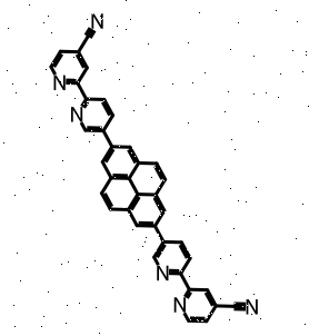 N#Cc1ccnc(-c2ccc(-c3cc4ccc5cc(-c6ccc(-c7cc(C#N)ccn7)nc6)cc6ccc(c3)c4c56)cn2)c1